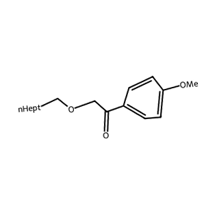 CCCCCCCCOCC(=O)c1ccc(OC)cc1